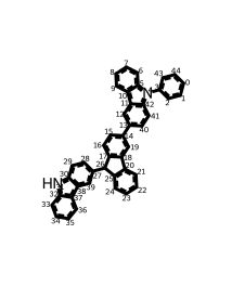 c1ccc(-n2c3ccccc3c3cc(-c4ccc5c(c4)-c4ccccc4C5c4ccc5[nH]c6ccccc6c5c4)ccc32)cc1